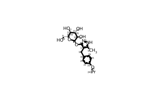 Cc1[nH]nc(O[C@H]2O[C@H](CO)[C@@H](O)[C@H](O)[C@H]2O)c1Cc1ccc(OC(C)C)cc1